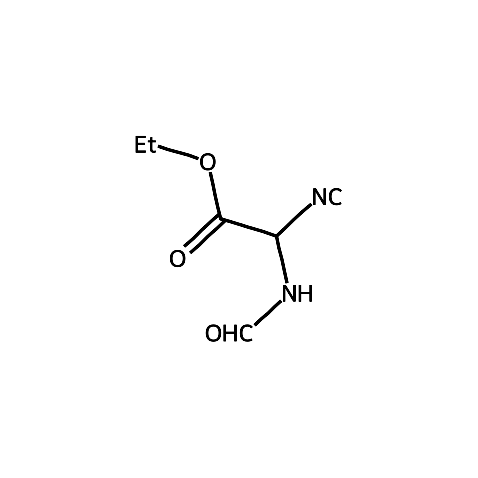 [C-]#[N+]C(NC=O)C(=O)OCC